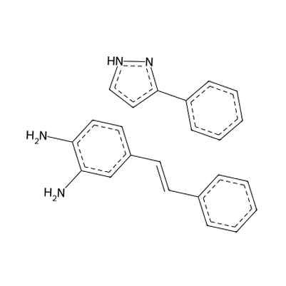 Nc1ccc(C=Cc2ccccc2)cc1N.c1ccc(-c2cc[nH]n2)cc1